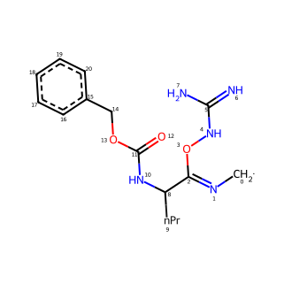 [CH2]N=C(ONC(=N)N)C(CCC)NC(=O)OCc1ccccc1